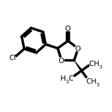 CC(C)(C)[C@@H]1OC(=O)C(c2cccc(Cl)c2)O1